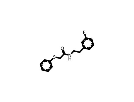 O=C(CSc1ccccc1)NCCc1cccc(F)c1